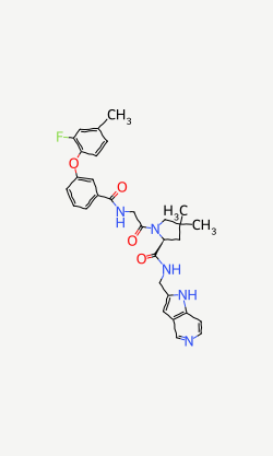 Cc1ccc(Oc2cccc(C(=O)NCC(=O)N3CC(C)(C)C[C@H]3C(=O)NCc3cc4cnccc4[nH]3)c2)c(F)c1